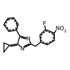 O=[N+]([O-])c1ccc(CC2=NC(=C3CC3)C(c3ccccc3)=N2)cc1F